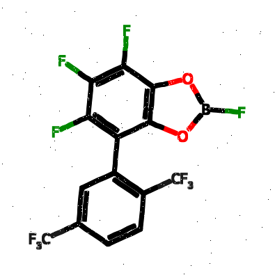 FB1Oc2c(F)c(F)c(F)c(-c3cc(C(F)(F)F)ccc3C(F)(F)F)c2O1